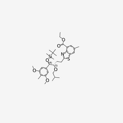 CCOC(=O)c1cc(C)cc2sc(CC[C@H](OCC(C)C)[C@H](O[Si](C)(C)C(C)(C)C)c3cc(OC)c(C)c(OC)c3)nc12